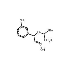 CC(C)(C)C(OC(C=NO)c1cccc(N)c1)C(=O)O